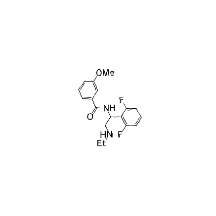 CCNCC(NC(=O)c1cccc(OC)c1)c1c(F)cccc1F